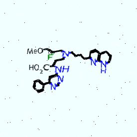 COC[C@@H](F)CN(CCCCc1ccc2c(n1)NCCC2)CCC(Nc1cc(-c2ccccc2)ncn1)C(=O)O